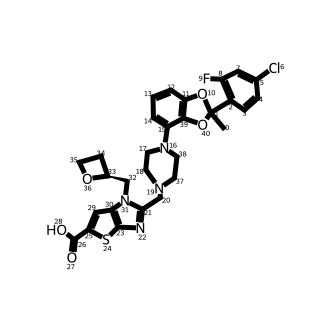 CC1(c2ccc(Cl)cc2F)Oc2cccc(N3CCN(Cc4nc5sc(C(=O)O)cc5n4C[C@@H]4CCO4)CC3)c2O1